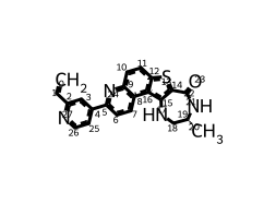 C=Cc1cc(-c2ccc3c(ccc4sc5c(c43)NC[C@@H](C)NC5=O)n2)ccn1